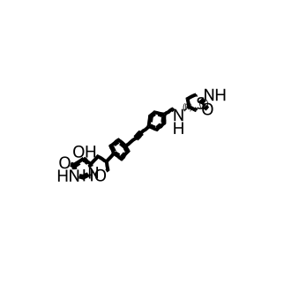 N=[S@]1(=O)CC[C@@H](NCc2ccc(C#Cc3ccc(C(CO)Cc4nc[nH]c(=O)c4O)cc3)cc2)C1